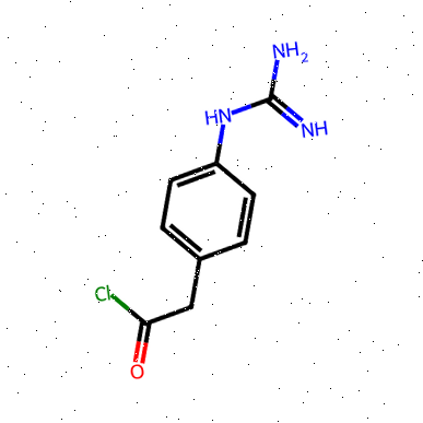 N=C(N)Nc1ccc(CC(=O)Cl)cc1